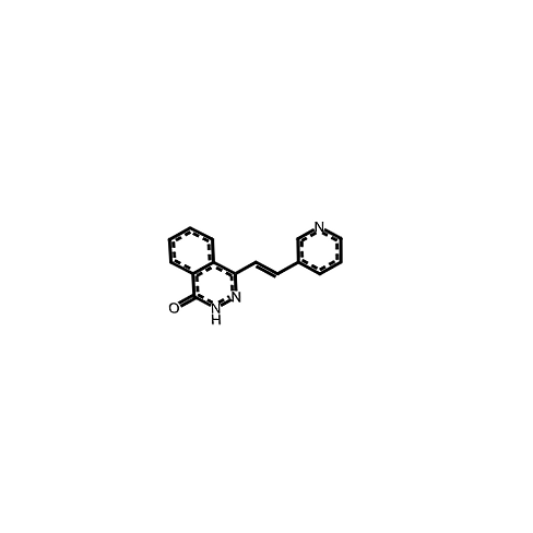 O=c1[nH]nc(C=Cc2cccnc2)c2ccccc12